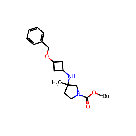 CC1(NC2CC(OCc3ccccc3)C2)CCN(C(=O)OC(C)(C)C)C1